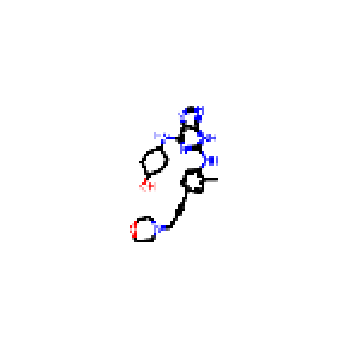 Cc1cc(C#CCN2CCOCC2)ccc1Nc1nc(NC2CCC(O)CC2)c2ncnc-2[nH]1